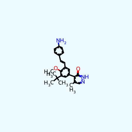 COc1c(/C=C/c2ccc(N)cc2)cc(-c2c(C)cn[nH]c2=O)cc1C(C)(C)C